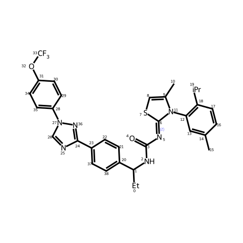 CCC(NC(=O)/N=c1\scc(C)n1-c1cc(C)ccc1C(C)C)c1ccc(-c2ncn(-c3ccc(OC(F)(F)F)cc3)n2)cc1